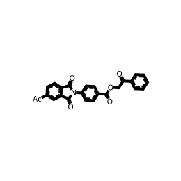 CC(=O)c1ccc2c(c1)C(=O)N(c1ccc(C(=O)OCC(=O)c3ccccc3)cc1)C2=O